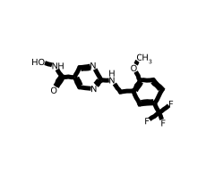 COc1ccc(C(F)(F)F)cc1CNc1ncc(C(=O)NO)cn1